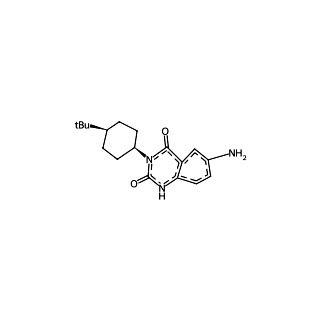 CC(C)(C)[C@H]1CC[C@@H](n2c(=O)[nH]c3ccc(N)cc3c2=O)CC1